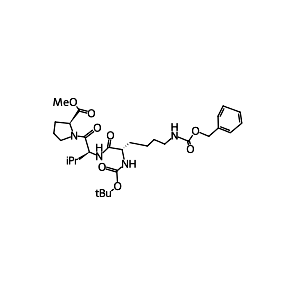 COC(=O)[C@@H]1CCCN1C(=O)[C@@H](NC(=O)[C@H](CCCCNC(=O)OCc1ccccc1)NC(=O)OC(C)(C)C)C(C)C